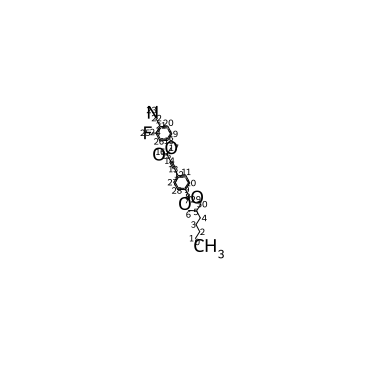 CCCCCC1COC(c2ccc(C#CC(=O)Oc3ccc(C#N)c(F)c3)cc2)OC1